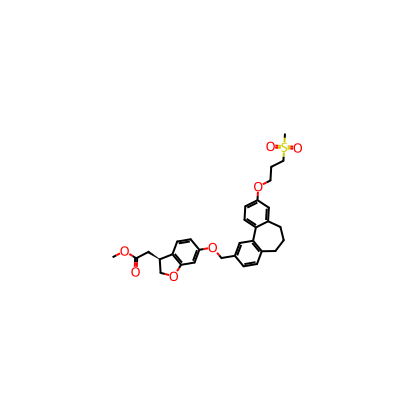 COC(=O)C[C@@H]1COc2cc(OCc3ccc4c(c3)-c3ccc(OCCCS(C)(=O)=O)cc3CCC4)ccc21